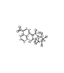 O=C1[C@@H]2[C@@H]3C[C@@H]([C@@H]4C[C@@H]43)[C@@H]2C(=O)N1c1ccc([N+](=O)[O-])c2ccccc12